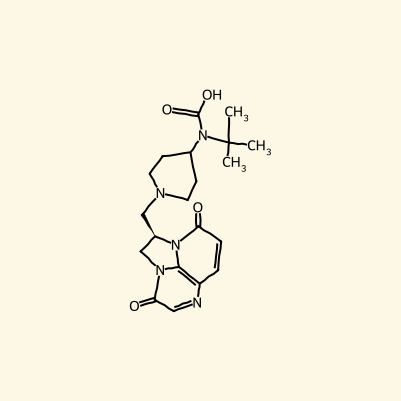 CC(C)(C)N(C(=O)O)C1CCN(C[C@@H]2Cn3c(=O)cnc4ccc(=O)n2c43)CC1